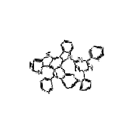 c1ccc(-c2nc(-c3ccccc3)nc(-n3c4ccccc4c4c5sc6cncnc6c5c5c(c6ccccc6n5-c5ccccc5)c43)n2)cc1